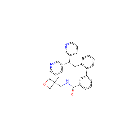 CC1(CNC(=O)c2cccc(-c3ccccc3CC(c3cccnc3)c3cccnc3)c2)COC1